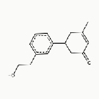 CC1=CC(=O)CC(c2cccc(CCO)c2)C1